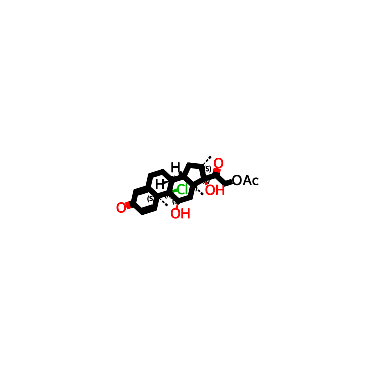 CC(=O)OCC(=O)[C@@]1(O)[C@@H](C)C[C@H]2[C@@H]3CCC4=CC(=O)C=C[C@]4(C)[C@@]3(Cl)[C@@H](O)C[C@@]21C